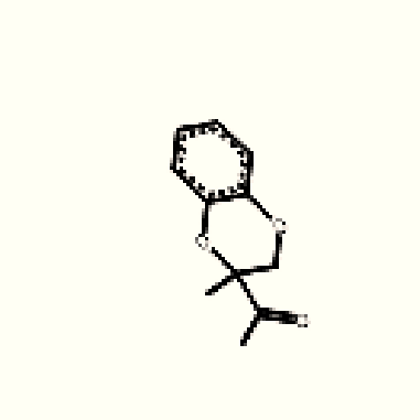 CC(=O)C1(C)COc2ccccc2O1